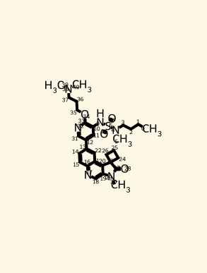 CCCCN(C)S(=O)(=O)Nc1cc(-c2ccc3ncc4c(c3c2)C2(CCC2)C(=O)N4C)cnc1OCCCN(C)C